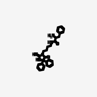 N=C1NC(c2ccccc2)(c2ccccc2)C(=O)N1CCCCNC(=O)C(N)Cc1ccccc1